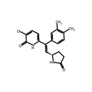 Cc1ccc(/C(=C\[C@H]2CCC(=O)N2)c2ccc(Cl)c(=O)[nH]2)cc1C